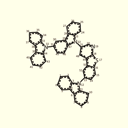 c1ccc2c(c1)c1ccccc1n2-c1ccc2sc3ncc(-n4c5ccccc5c5cc(-n6c7ccccc7c7ccccc76)ccc54)cc3c2c1